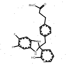 COC(=O)CCc1ccc(CC2(c3cccnc3O)Nc3cc(F)c(F)cc3N2)cc1